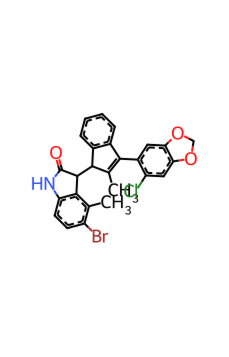 CC1=C(c2cc3c(cc2Cl)OCO3)c2ccccc2C1C1C(=O)Nc2ccc(Br)c(C)c21